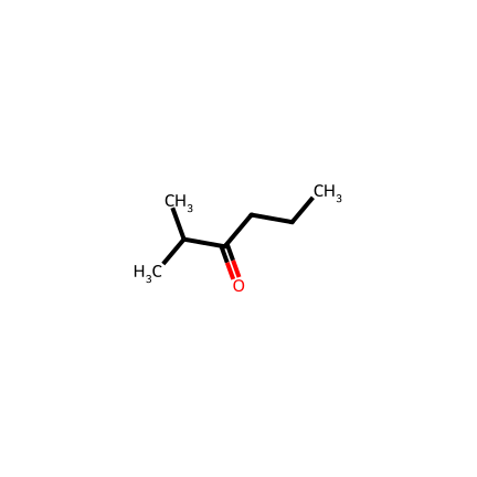 CCCC(=O)C(C)C